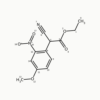 CCOC(=O)C(C#N)c1ccc(OC)cc1[N+](=O)[O-]